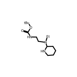 CCN(CCNC(=O)OC(C)(C)C)C1CCCCN1